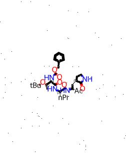 CCC[C@H](NC(=O)[C@@H](NC(=O)OCc1ccccc1)[C@@H](C)OC(C)(C)C)C(=O)N[C@@H](C[C@@H]1CCNC1=O)C(C)=O